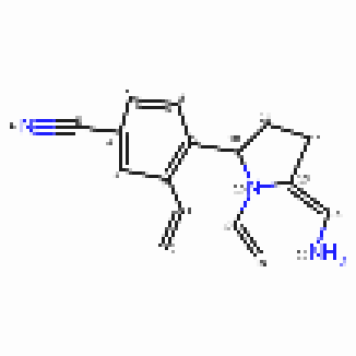 C=Cc1cc(C#N)ccc1C1CC/C(=C/N)N1C=C